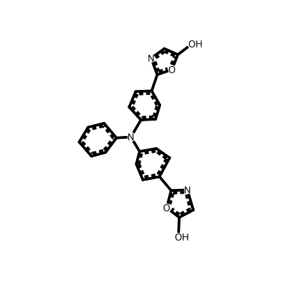 Oc1cnc(-c2ccc(N(c3ccccc3)c3ccc(-c4ncc(O)o4)cc3)cc2)o1